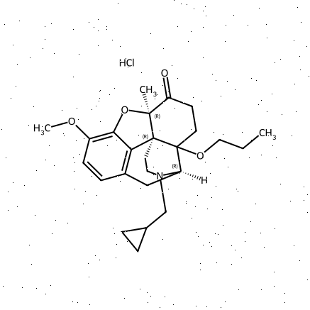 CCCOC12CCC(=O)[C@]3(C)Oc4c(OC)ccc5c4[C@]13CCN(CC1CC1)[C@@H]2C5.Cl